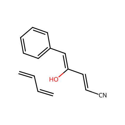 C=CC=C.N#CC=CC(O)=Cc1ccccc1